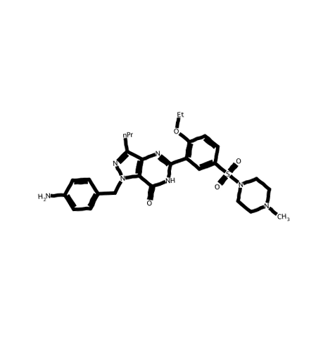 CCCc1nn(Cc2ccc(N)cc2)c2c(=O)[nH]c(-c3cc(S(=O)(=O)N4CCN(C)CC4)ccc3OCC)nc12